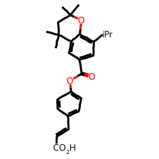 CC(C)c1cc(C(=O)Oc2ccc(/C=C/C(=O)O)cc2)cc2c1OC(C)(C)CC2(C)C